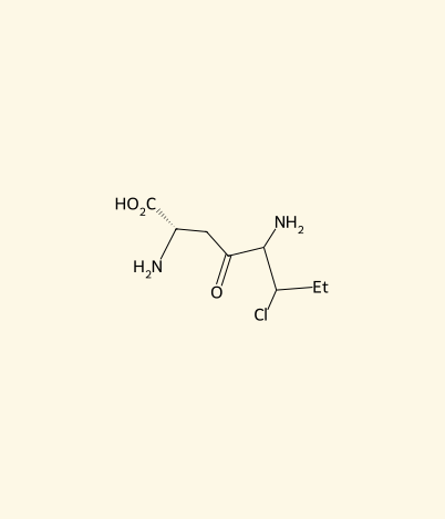 CCC(Cl)C(N)C(=O)C[C@H](N)C(=O)O